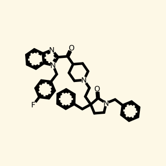 O=C(c1nc2ccccc2n1Cc1ccc(F)cc1)C1CCN(CCC2(Cc3ccccc3)CCN(Cc3ccccc3)C2=O)CC1